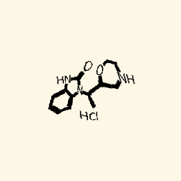 CC(C1CNCCO1)n1c(=O)[nH]c2ccccc21.Cl